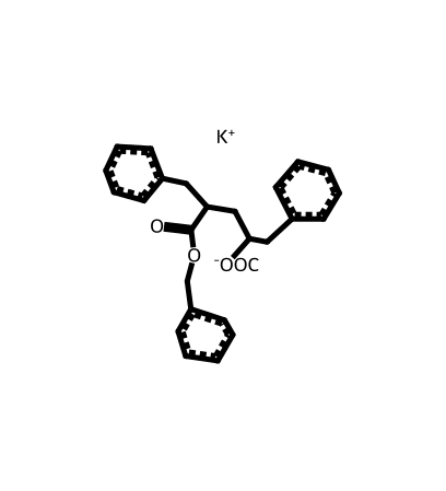 O=C([O-])C(Cc1ccccc1)CC(Cc1ccccc1)C(=O)OCc1ccccc1.[K+]